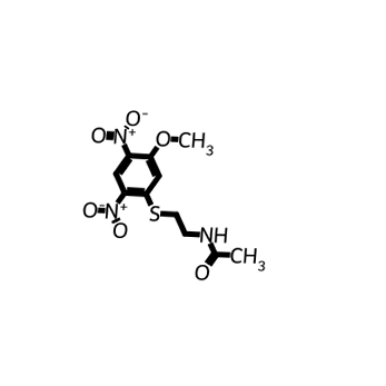 COc1cc(SCCNC(C)=O)c([N+](=O)[O-])cc1[N+](=O)[O-]